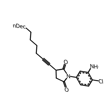 CCCCCCCCCCCCCCC#CC1CC(=O)N(c2ccc(Cl)c([NH])c2)C1=O